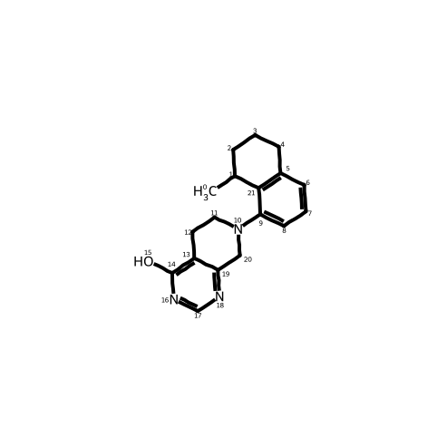 CC1CCCc2cccc(N3CCc4c(O)ncnc4C3)c21